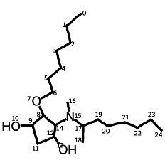 CCCCCCCOC1C(O)CC(O)C1N(C)C(C)CCCCCC